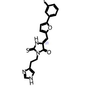 O=C1/C(=C/c2ccc(-c3cccc(I)c3)o2)NC(=S)N1CCc1c[nH]cn1